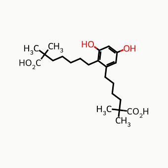 CC(C)(CCCCCc1c(O)cc(O)cc1CCCCC(C)(C)C(=O)O)C(=O)O